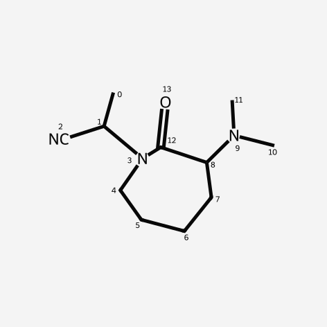 CC(C#N)N1CCCCC(N(C)C)C1=O